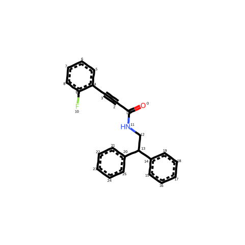 O=C(C#Cc1ccccc1F)NCC(c1ccccc1)c1ccccc1